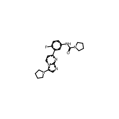 O=C(Nc1ccc(F)c(-c2ccn3c(N4CCCC4)cnc3n2)c1)N1CCCC1